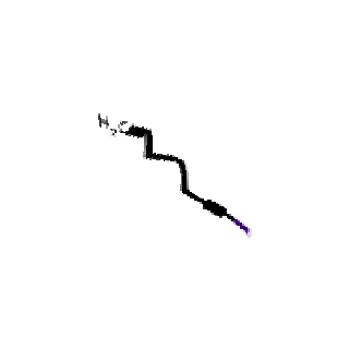 C=CCCCC#CI